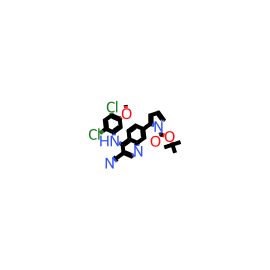 COc1cc(Nc2c(C#N)cnc3cc(-c4cccn4C(=O)OC(C)(C)C)ccc23)c(Cl)cc1Cl